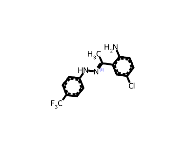 C/C(=N\Nc1ccc(C(F)(F)F)cc1)c1cc(Cl)ccc1N